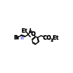 CCOC(=O)Cc1ccccc1O[C@H](C)C(C)(/C=C/Br)CC